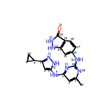 Cc1cc(Nc2cc(C3CC3)n[nH]2)nc(Nc2ccc3c(=O)[nH][nH]c3c2)n1